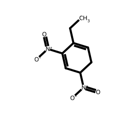 CCC1=CCC([N+](=O)[O-])C=C1[N+](=O)[O-]